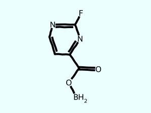 BOC(=O)c1ccnc(F)n1